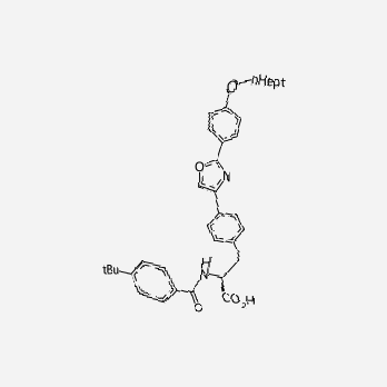 CCCCCCCOc1ccc(-c2nc(-c3ccc(C[C@H](NC(=O)c4ccc(C(C)(C)C)cc4)C(=O)O)cc3)co2)cc1